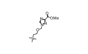 COC(=O)c1ncn(COCC[Si](C)(C)C)n1